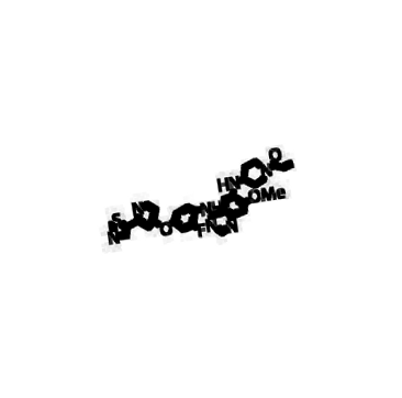 C=CC(=O)N1CCC(Nc2cc3c(Nc4ccc(Oc5ccnc(-c6cncs6)c5)cc4F)ncnc3cc2OC)CC1